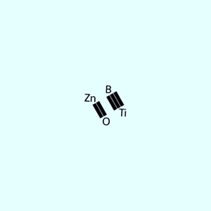 [B]#[Ti].[O]=[Zn]